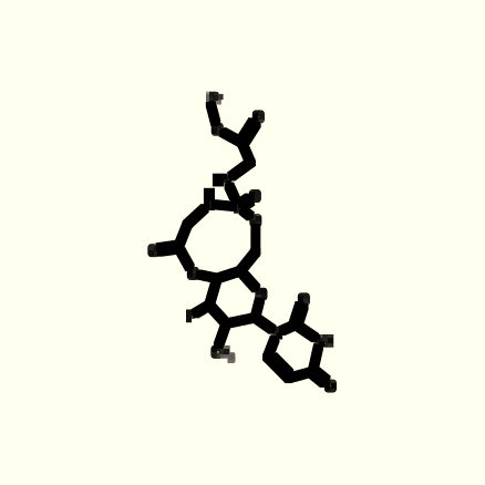 CC(C)OC(=O)CNP1(=O)NCC(=O)OC2C(CO1)OC(n1ccc(=O)[nH]c1=O)C(C)C2F